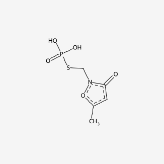 Cc1cc(=O)n(CSP(=O)(O)O)o1